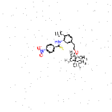 Cc1ccc(CCO[Si](C)(C)C(C)(C)C)cc1NC(=S)c1ccc([N+](=O)[O-])cc1